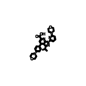 CC(C)c1nn(-c2cccc(N3CCOCC3)n2)c2nc(C(=O)O)cc(-c3ccc(N4CCOCC4)cc3)c12